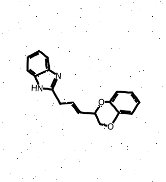 C(=CC1COc2ccccc2O1)Cc1nc2ccccc2[nH]1